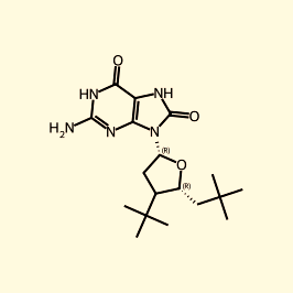 CC(C)(C)C[C@H]1O[C@@H](n2c(=O)[nH]c3c(=O)[nH]c(N)nc32)CC1C(C)(C)C